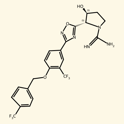 N=C(N)N1CC[C@H](O)[C@H]1c1nc(-c2ccc(OCc3ccc(C(F)(F)F)cc3)c(C(F)(F)F)c2)no1